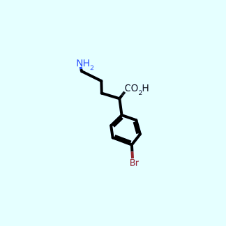 NCCCC(C(=O)O)c1ccc(Br)cc1